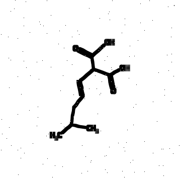 CC(C)CC=CC(C(=O)O)C(=O)O